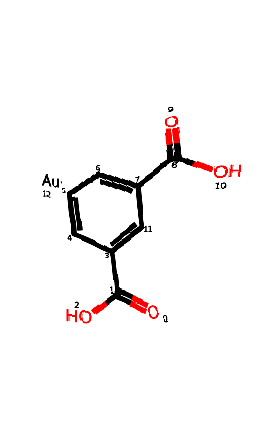 O=C(O)c1cccc(C(=O)O)c1.[Au]